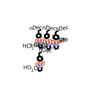 CCCCCCCCCCCCc1ccc(S(=O)(=O)N2CCC[C@@H]2C(=O)O)cc1.CCCCCCCCCCCCc1ccc(S(=O)(=O)N2CCC[C@@H]2C(=O)O)cc1.CCCCCCCCCCCCc1ccc(S(=O)(=O)N2CCC[C@@H]2C(=O)O)cc1.CCCCCCCCCCCCc1ccc(S(=O)(=O)N2CCC[C@@H]2C(=O)O)cc1.[Rh].[Rh]